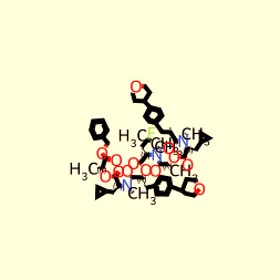 C[C@@H](OC(=O)[C@H](CC1CC1)N(C)C(=O)[C@@H](Cc1ccc(C2CCOCC2)cc1)OC(=O)[C@H](CC(C)(C)F)N(C)C(=O)[C@@H](C)OC(=O)[C@H](CC1CC1)N(C)C(=O)[CH]Cc1ccc(C2CCOCC2)cc1)C(=O)OCc1ccccc1